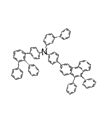 c1ccc(-c2cccc(N(c3ccc(-c4ccc5c(-c6ccccc6)c(-c6ccccc6)c6ccccc6c5c4)cc3)c3ccc(-c4cccc(-c5ccccc5)c4-c4ccccc4)cc3)c2)cc1